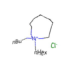 CCCCCC[N+]1(CCCC)CCCC1.[Cl-]